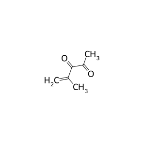 C=C(C)C(=O)C(C)=O